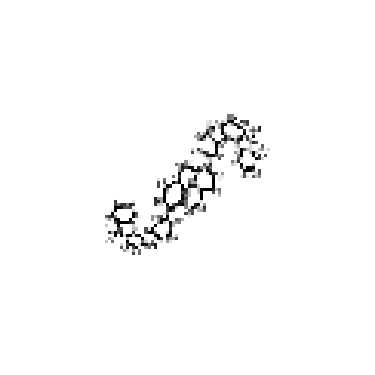 CC1(C)C2=C(c3ccccc31)C1c3cc(-c4ccc5ccc6c(-c7ccc8sc9ccc%10c(c9c8c7)-c7ccccc7C%10(C)C)ccc7ccc4c5c76)ccc3SC1C=C2